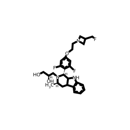 C[C@@H]1CC2c3ccccc3NC2[C@@H](c2c(F)cc(OCCN3CC(CF)C3)cc2F)N1C[C@@H](O)CO